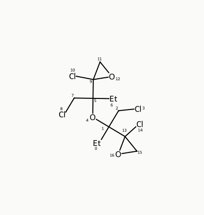 CCC(CCl)(OC(CC)(CCl)C1(Cl)CO1)C1(Cl)CO1